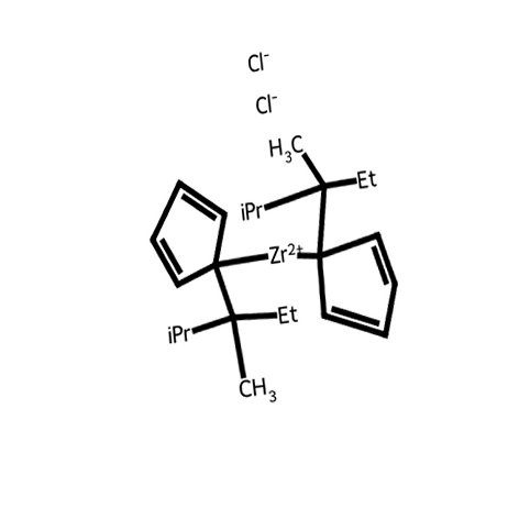 CCC(C)(C(C)C)[C]1([Zr+2][C]2(C(C)(CC)C(C)C)C=CC=C2)C=CC=C1.[Cl-].[Cl-]